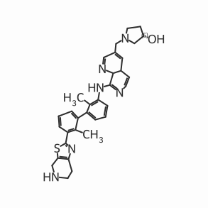 Cc1c(NC2=NC=CC3C=C(CN4CC[C@H](O)C4)C=NC23)cccc1-c1cccc(-c2nc3c(s2)CNCC3)c1C